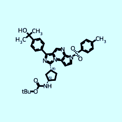 Cc1ccc(S(=O)(=O)n2ccc3c2ncc2c(-c4ccc(C(C)(C)O)cc4)nc([C@@H]4CC[C@H](NC(=O)OC(C)(C)C)C4)n23)cc1